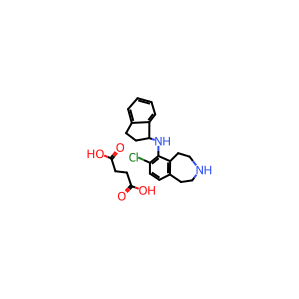 Clc1ccc2c(c1NC1CCc3ccccc31)CCNCC2.O=C(O)CCC(=O)O